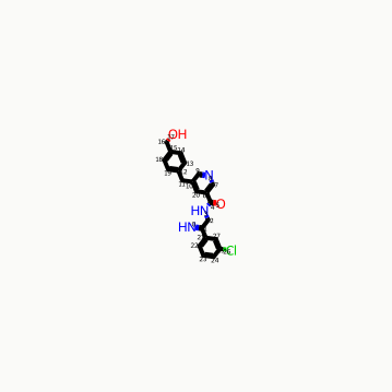 N=C(CNC(=O)c1cncc(Cc2ccc(CO)cc2)c1)c1cccc(Cl)c1